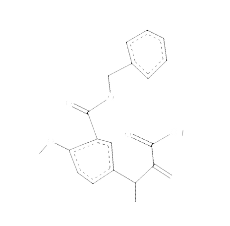 C=C(C(=O)O)C(C)c1ccc(OC)c(C(=O)OCc2ccccc2)c1